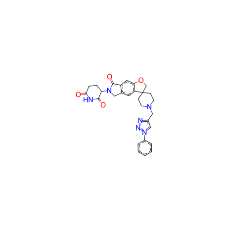 O=C1CCC(N2Cc3cc4c(cc3C2=O)OCC42CCN(Cc3cn(-c4ccccc4)nn3)CC2)C(=O)N1